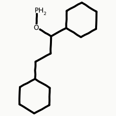 POC(CCC1CCCCC1)C1CCCCC1